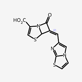 O=C(O)C1=CSC2/C(=C\c3cn4ccsc4n3)C(=O)N12